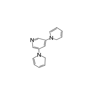 C1=CCN(c2cncc(N3C=CC=CC3)c2)C=C1